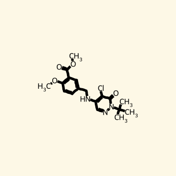 COC(=O)c1cc(CNc2cnn(C(C)(C)C)c(=O)c2Cl)ccc1OC